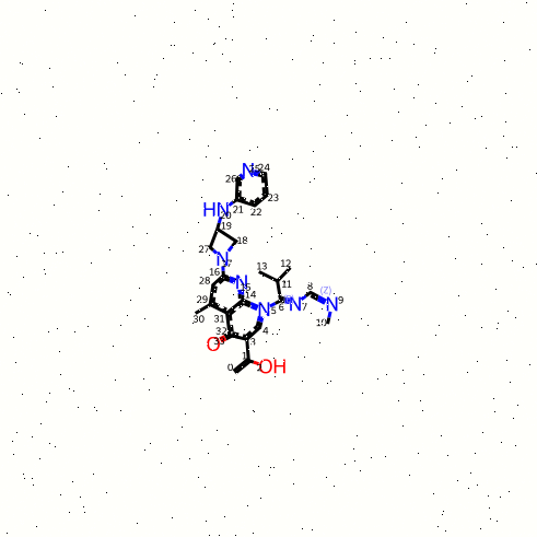 C=C(O)c1cn(/C(=N/C=N\C)C(C)C)c2nc(N3CC(Nc4cccnc4)C3)cc(C)c2c1=O